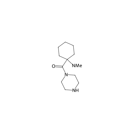 CNC1(C(=O)N2CCNCC2)CCCCC1